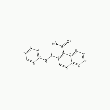 O=C(O)c1c(SSc2ccccc2)ccc2ccccc12